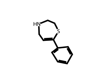 C1=C(c2ccccc2)SCCNC1